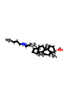 CCCCNCC[C@H]1CC[C@@]2(C)C3CC[C@@]4(C)C[C@@H](O)CCC4[C@@]3(C)CC[C@]12C